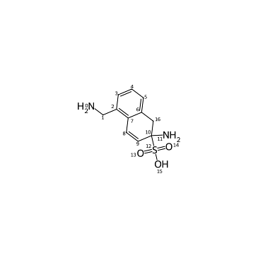 NCc1cccc2c1C=CC(N)(S(=O)(=O)O)C2